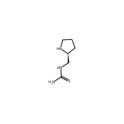 NC(=S)NC[C@@H]1CCCN1